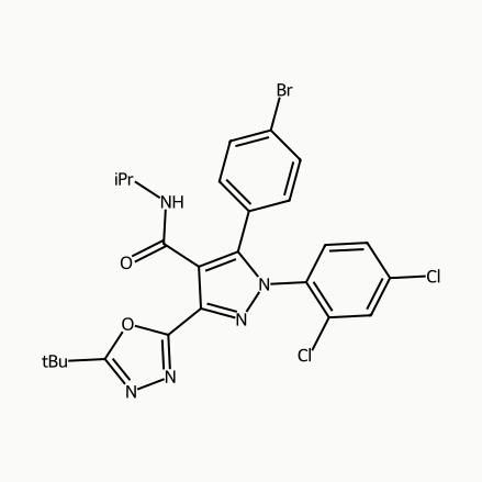 CC(C)NC(=O)c1c(-c2nnc(C(C)(C)C)o2)nn(-c2ccc(Cl)cc2Cl)c1-c1ccc(Br)cc1